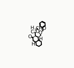 C[C@@H](OC=O)[C@@H]1C(=O)C[C@@H]2CCCC[C@H]2[C@@H]1COCc1ccccc1